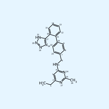 CCc1cc(NCc2ccc(-c3ccccc3-c3nnn[nH]3)cc2)nc(C)n1